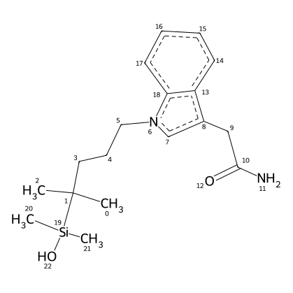 CC(C)(CCCn1cc(CC(N)=O)c2ccccc21)[Si](C)(C)O